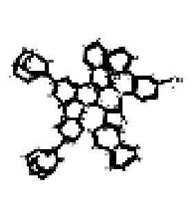 CC(C)(C)c1ccc(N2c3cc4ccccc4c4c3B(c3c2oc2c3ccc3ccccc32)n2c3ccc(C56CCC7CC(CC7C5)C6)cc3c3cc(C56CCC7CC(CC7C5)C6)cc-4c32)c(-c2ccccc2)c1